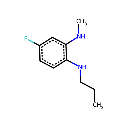 CCCNc1ccc(F)cc1NC